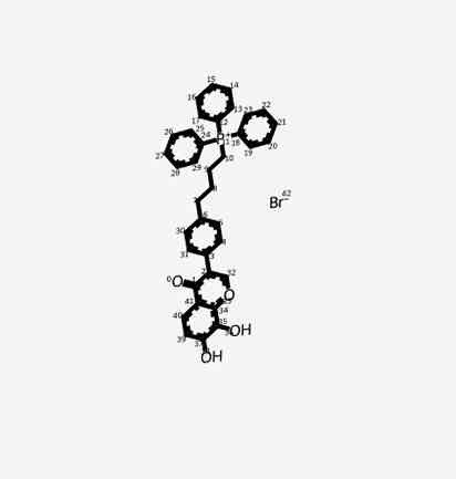 O=c1c(-c2ccc(CCCC[P+](c3ccccc3)(c3ccccc3)c3ccccc3)cc2)coc2c(O)c(O)ccc12.[Br-]